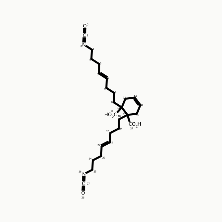 O=C=NCCCC=CCCCC1(C(=O)O)CC=CCC1(CCCC=CCCCN=C=O)C(=O)O